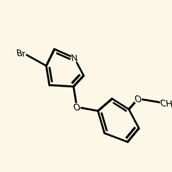 COc1cccc(Oc2cncc(Br)c2)c1